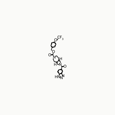 O=C(OCc1ccc(OCC(F)(F)F)cc1)N1CC[C@@H]2CN(C(=O)c3ccc4[nH]nnc4c3)C[C@@H]2CC1